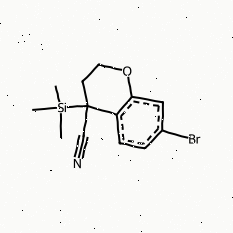 C[Si](C)(C)C1(C#N)CCOc2cc(Br)ccc21